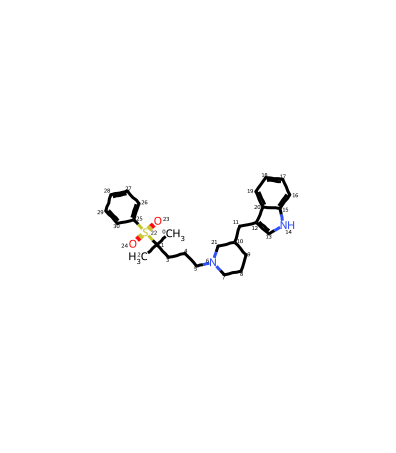 CC(C)(CCCN1CCCC(Cc2c[nH]c3ccccc23)C1)S(=O)(=O)c1ccccc1